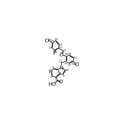 O=C(O)c1cncc2c1ccn2Cc1cc(Cl)ccc1OCc1ccc(Cl)cc1F